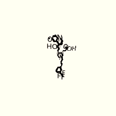 COc1ccc2nccc([C@H](O)CC[C@@H]3CCN(CCCc4cccc(C(F)(F)F)c4)C[C@H]3CCC(=O)O)c2c1